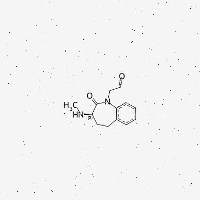 CN[C@@H]1CCc2ccccc2N(CC=O)C1=O